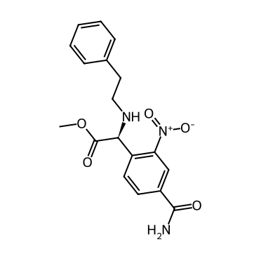 COC(=O)[C@@H](NCCc1ccccc1)c1ccc(C(N)=O)cc1[N+](=O)[O-]